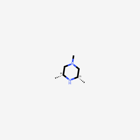 C[C@@H]1CN(C)C[C@H](C)N1